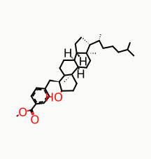 COC(=O)c1ccc(C[C@H]2C3CC[C@H]4[C@@H]5CC[C@H]([C@H](C)CCCC(C)C)[C@@]5(C)CC[C@@H]4[C@@]3(C)CC[C@H]2O)cc1